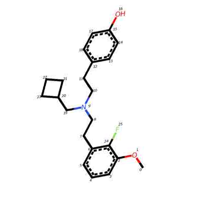 COc1cccc(CCN(CCc2ccc(O)cc2)CC2CCC2)c1F